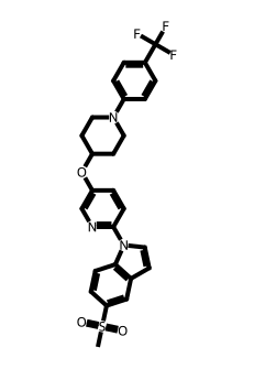 CS(=O)(=O)c1ccc2c(ccn2-c2ccc(OC3CCN(c4ccc(C(F)(F)F)cc4)CC3)cn2)c1